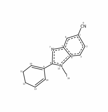 N#Cc1ccc2c(c1)nc(C1=CCCC=C1)n2I